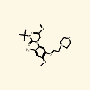 COC(=O)CN(C(=O)OC(C)(C)C)c1cc(OCCN2CCOCC2)c(OC)cc1N